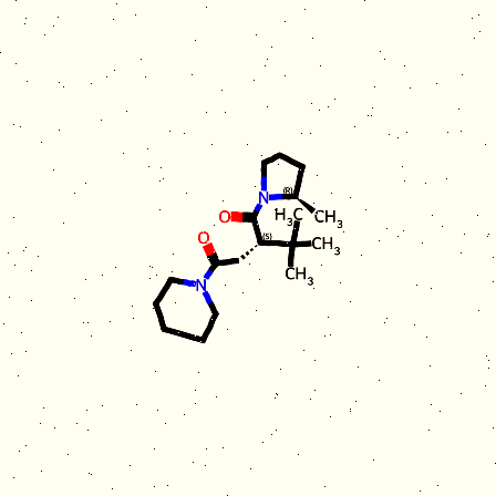 C[C@@H]1CCCN1C(=O)[C@@H](CC(=O)N1CCCCC1)C(C)(C)C